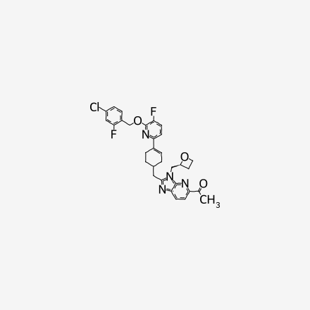 CC(=O)c1ccc2nc(CC3CC=C(c4ccc(F)c(OCc5ccc(Cl)cc5F)n4)CC3)n(C[C@@H]3CCO3)c2n1